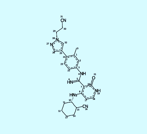 Cc1cc(NC(=N)c2c(N[C@H]3CCCCC3C#N)cc[nH]c2=O)ccc1-c1cnn(CCC#N)c1